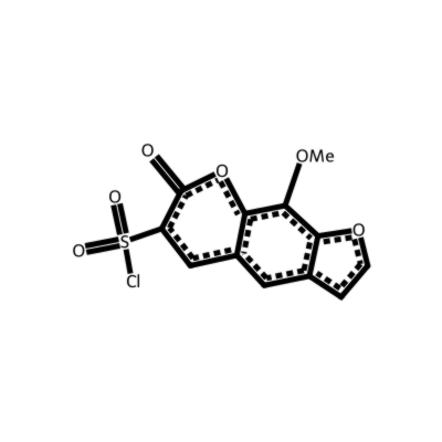 COc1c2occc2cc2cc(S(=O)(=O)Cl)c(=O)oc12